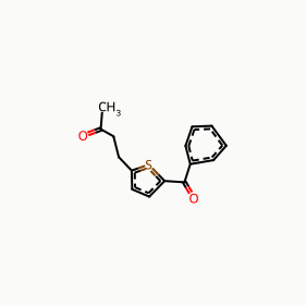 CC(=O)CCc1ccc(C(=O)c2ccccc2)s1